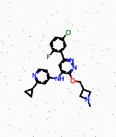 CN1CC(COc2nnc(-c3cc(Cl)ccc3F)cc2Nc2ccnc(C3CC3)c2)C1